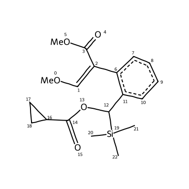 COC=C(C(=O)OC)c1ccccc1C(OC(=O)C1CC1)[Si](C)(C)C